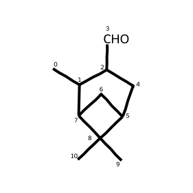 CC1C(C=O)CC2CC1C2(C)C